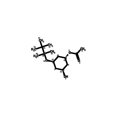 CC(=O)O[C@@H]1C[C@@H](O)C[C@@H](O[Si](C)(C)C(C)(C)C)C1